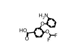 Nc1ccccc1Oc1cc(C(=O)O)ccc1OC(F)F